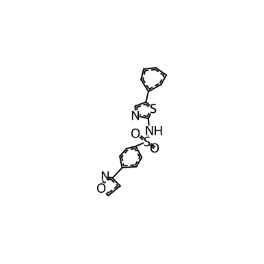 O=S(=O)(Nc1ncc(-c2ccccc2)s1)c1ccc(-c2ccon2)cc1